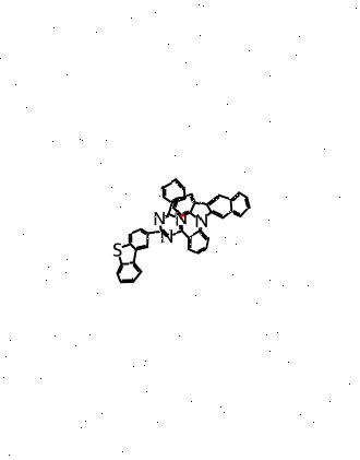 c1ccc(-c2nc(-c3ccc4sc5ccccc5c4c3)nc(-c3ccccc3-n3c4ccccc4c4cc5ccccc5cc43)n2)cc1